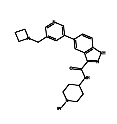 CC(C)N1CCC(NC(=O)c2n[nH]c3ccc(-c4cncc(CN5CCC5)c4)cc23)CC1